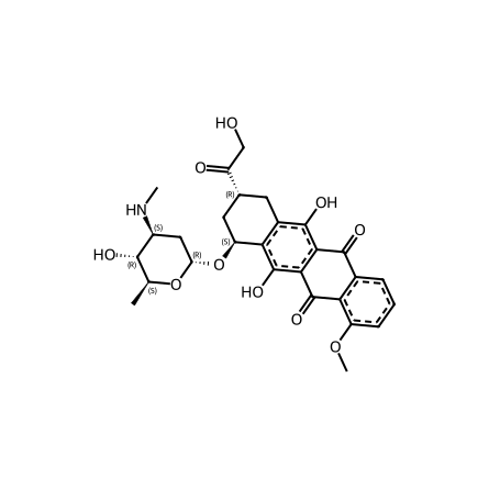 CN[C@H]1C[C@H](O[C@H]2C[C@H](C(=O)CO)Cc3c(O)c4c(c(O)c32)C(=O)c2c(OC)cccc2C4=O)O[C@@H](C)[C@@H]1O